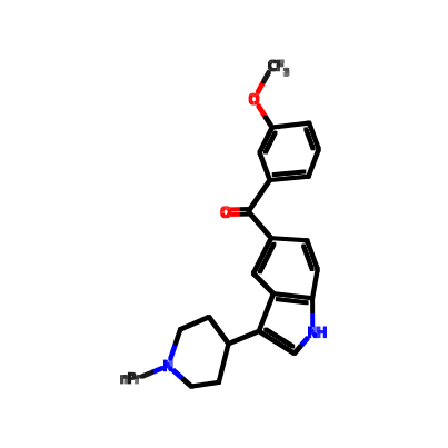 CCCN1CCC(c2c[nH]c3ccc(C(=O)c4cccc(OC(F)(F)F)c4)cc23)CC1